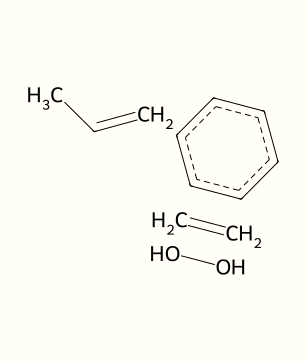 C=C.C=CC.OO.c1ccccc1